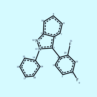 Fc1ccc(-c2c3ccccc3nn2-c2ccccc2)c(F)c1